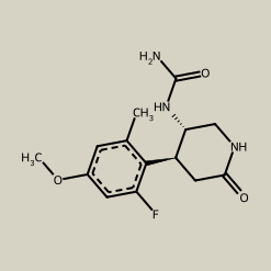 COc1cc(C)c([C@@H]2CC(=O)NC[C@H]2NC(N)=O)c(F)c1